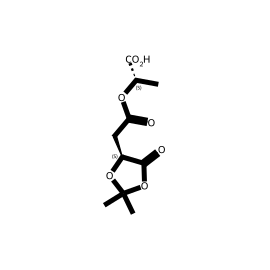 C[C@H](OC(=O)C[C@@H]1OC(C)(C)OC1=O)C(=O)O